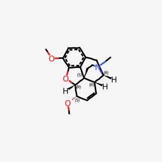 COc1ccc2c3c1O[C@H]1[C@@H](OC)C=C[C@H]4[C@@H](C2)N(C)CC[C@@]341